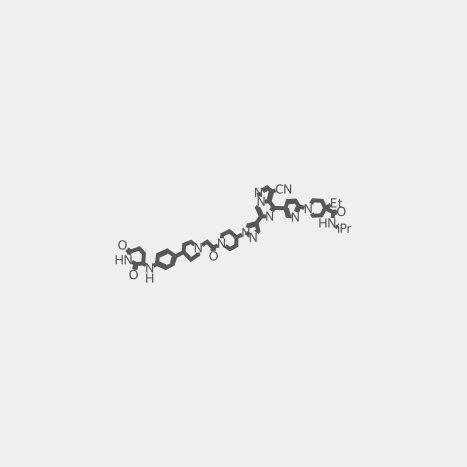 CCC1(C(=O)NC(C)C)CCN(c2ccc(-c3nc(-c4cnn(C5CCN(C(=O)CN6CCC(c7ccc(NC8CCC(=O)NC8=O)cc7)CC6)CC5)c4)cn4ncc(C#N)c34)cn2)CC1